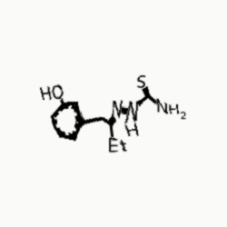 CCC(=NNC(N)=S)c1cccc(O)c1